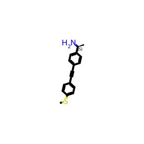 CSc1ccc(C#Cc2ccc([C@H](C)N)cc2)cc1